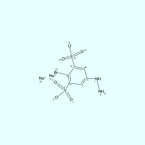 NNc1cc(S(=O)(=O)[O-])c(Br)c(S(=O)(=O)[O-])c1.[Na+].[Na+]